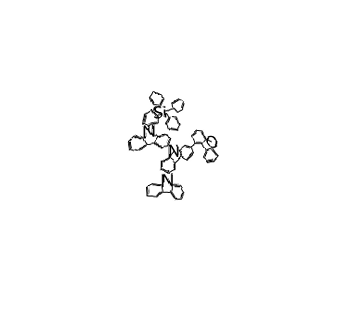 c1ccc([Si](c2ccccc2)(c2ccccc2)c2cccc(-n3c4ccccc4c4cc(-n5c6ccc(-n7c8ccccc8c8ccccc87)cc6c6ccc(-c7cccc8oc9ccccc9c78)cc65)ccc43)c2)cc1